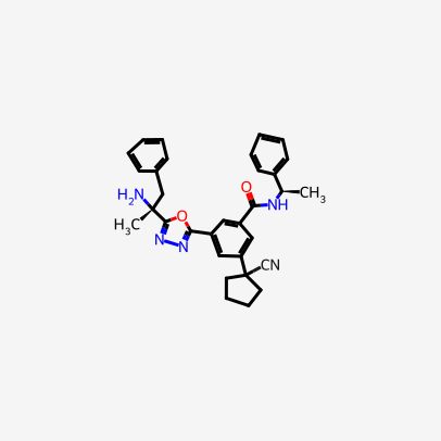 C[C@@H](NC(=O)c1cc(-c2nnc([C@](C)(N)Cc3ccccc3)o2)cc(C2(C#N)CCCC2)c1)c1ccccc1